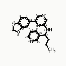 CCCC(Nc1cncc(-c2ccc3c(c2)OCO3)n1)c1cccnc1